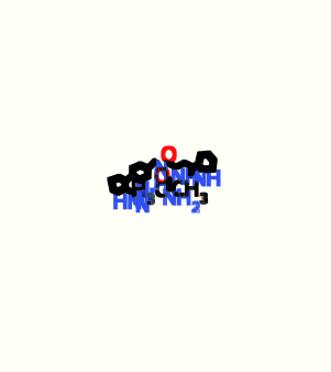 CC(C)(N)C(=O)NC(Cc1c[nH]c2ccccc12)C(=O)NCc1ccc(-c2ccccc2-c2nnn[nH]2)cc1